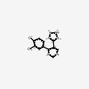 Clc1ccc(-c2ncncc2-c2nn[nH]n2)cc1Cl